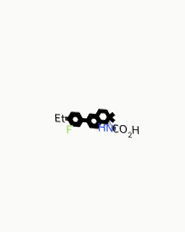 CCc1ccc(-c2ccc3c(c2)CCC(C)(C)[C@H]3NC(=O)O)cc1F